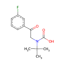 CC(C)(C)N(CC(=O)c1cccc(F)c1)C(=O)O